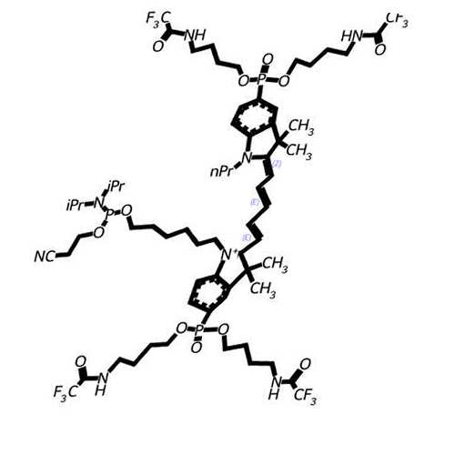 CCCN1\C(=C/C=C/C=C/C2=[N+](CCCCCCOP(OCCC#N)N(C(C)C)C(C)C)c3ccc(P(=O)(OCCCCNC(=O)C(F)(F)F)OCCCCNC(=O)C(F)(F)F)cc3C2(C)C)C(C)(C)c2cc(P(=O)(OCCCCNC(=O)C(F)(F)F)OCCCCNC(=O)C(F)(F)F)ccc21